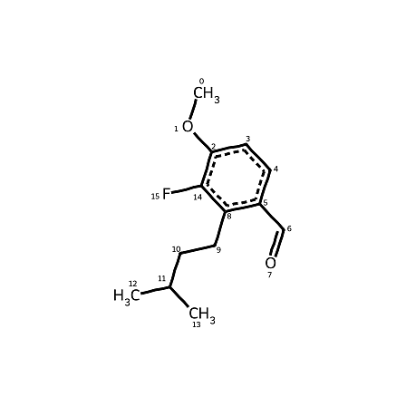 COc1ccc(C=O)c(CCC(C)C)c1F